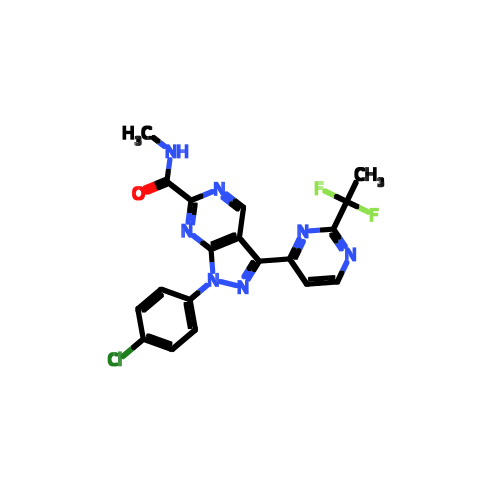 CNC(=O)c1ncc2c(-c3ccnc(C(C)(F)F)n3)nn(-c3ccc(Cl)cc3)c2n1